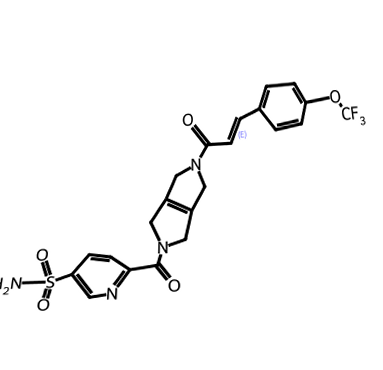 NS(=O)(=O)c1ccc(C(=O)N2CC3=C(CN(C(=O)/C=C/c4ccc(OC(F)(F)F)cc4)C3)C2)nc1